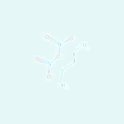 CCCCC.O=[N+]([O-])O[N+](=O)[O-]